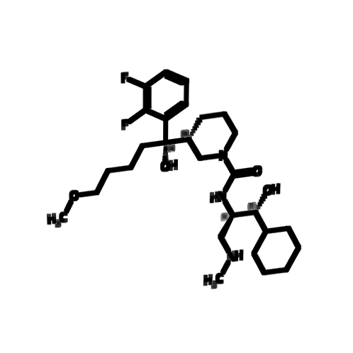 CNC[C@@H](NC(=O)N1CCC[C@@H]([C@@](O)(CCCCOC)c2cccc(F)c2F)C1)[C@H](O)C1CCCCC1